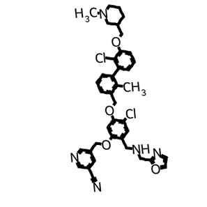 Cc1c(COc2cc(OCc3cncc(C#N)c3)c(CNCc3ncco3)cc2Cl)cccc1-c1cccc(OCC2CCCN(C)C2)c1Cl